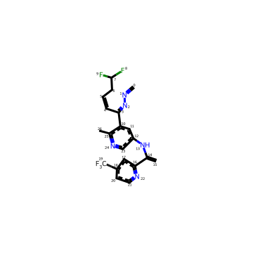 C=N/N=C(\C=C/CC(F)F)c1cc(NC(=C)c2cc(C(F)(F)F)ccn2)cnc1C